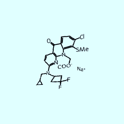 CSc1c(Cl)ccc2c(=O)c3ccc(N(CC4CC4)C4CC(F)(F)C4)nc3n(CC(=O)[O-])c12.[Na+]